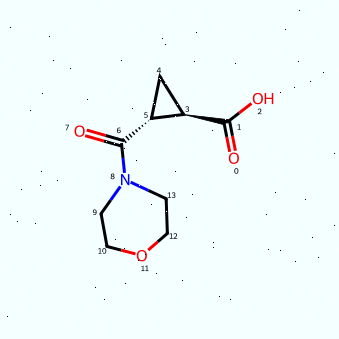 O=C(O)[C@@H]1C[C@H]1C(=O)N1CCOCC1